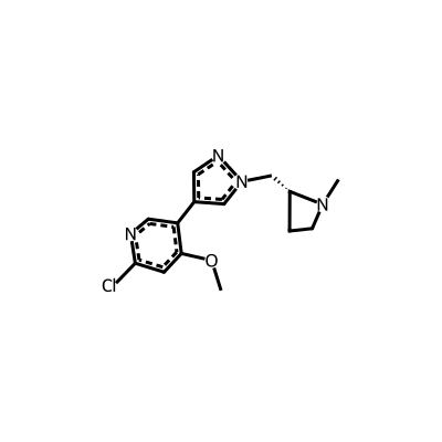 COc1cc(Cl)ncc1-c1cnn(C[C@H]2CCN2C)c1